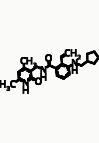 C=Cc1c(NCC2CCCC2)cccc1C(=O)NCc1c(C)cc(C)[nH]c1=O